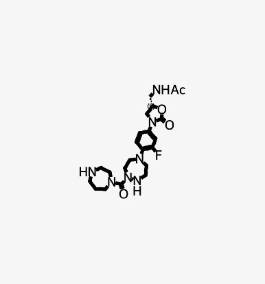 CC(=O)NC[C@H]1CN(c2ccc(N3CCNN(C(=O)N4CCCNCC4)CC3)c(F)c2)C(=O)O1